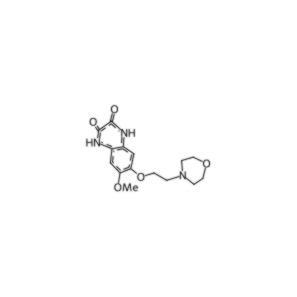 COc1cc2[nH]c(=O)c(=O)[nH]c2cc1OCCN1CCOCC1